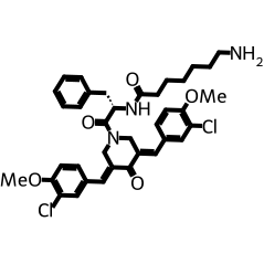 COc1ccc(/C=C2\CN(C(=O)[C@H](Cc3ccccc3)NC(=O)CCCCCCN)C/C(=C\c3ccc(OC)c(Cl)c3)C2=O)cc1Cl